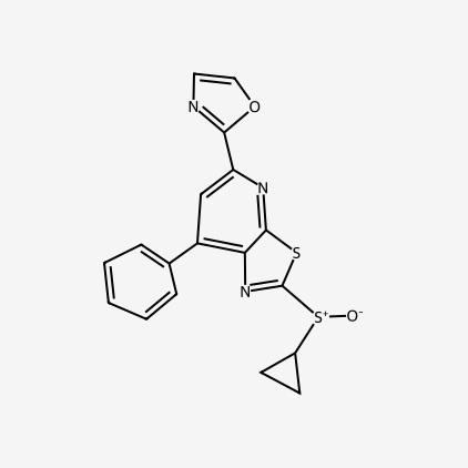 [O-][S+](c1nc2c(-c3ccccc3)cc(-c3ncco3)nc2s1)C1CC1